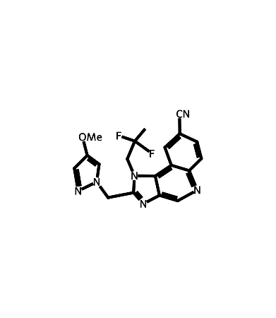 COc1cnn(Cc2nc3cnc4ccc(C#N)cc4c3n2CC(C)(F)F)c1